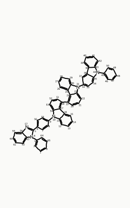 c1ccc(-n2c(-c3ccc(-n4c5ccccc5c5c(-c6cccc7c6c6ccccc6n7-c6ccc7c(c6)c6ccccc6n7-c6ccccc6)cccc54)cc3)nc3ccccc32)cc1